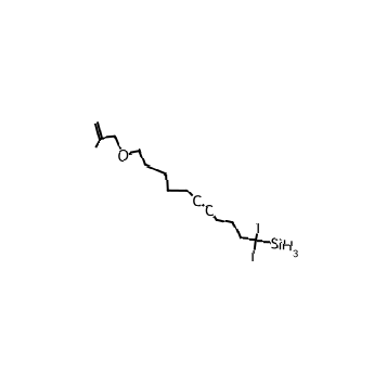 C=C(C)COCCCCCCCCCCC([SiH3])(I)I